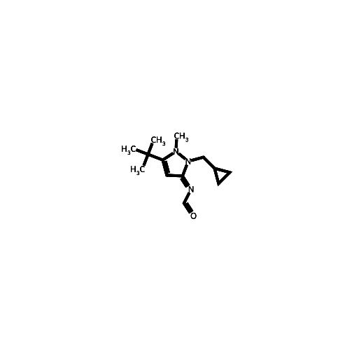 Cn1c(C(C)(C)C)cc(=NC=O)n1CC1CC1